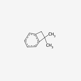 CC1(C)Cc2ccccc21